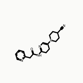 N#CC1CCN(C2=CN=C(NC(=O)Cc3ccccn3)CC2)CC1